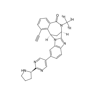 [2H]C([2H])([2H])N1C(=O)c2cccc(C#C)c2[C@H]2C[C@@H]1c1nc3ccc(-c4cnc([C@H]5CCCN5)nc4)cc3n12